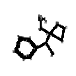 CC(c1ccccc1)C1(CN)CCC1